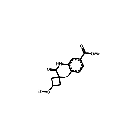 CCOC1CC2(C1)Oc1ccc(C(=O)OC)cc1NC2=O